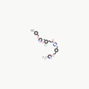 Cc1cc(C=CC(=O)N2CCN(Cc3ccc(CCOc4ccc(C(F)(F)F)cn4)cc3)CC2)cc(Cl)c1Oc1ccc(OCc2ccc(C#N)cc2)cn1